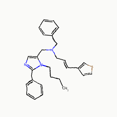 CCCCn1c(CN(CC=Cc2ccsc2)Cc2ccccc2)cnc1-c1ccccc1